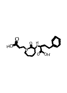 O=C(O)CCN1CCCCC(NC(CCc2ccccc2)C(=O)O)C1=O